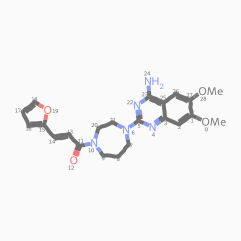 COc1cc2nc(N3CCCN(C(=O)C=Cc4ccco4)CC3)nc(N)c2cc1OC